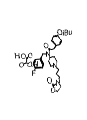 CC(C)COc1ccc(CC(=O)N(Cc2ccc(F)cc2)C2CCN(CCCN3CCOC3=O)CC2)cc1.O=C(O)C(=O)O